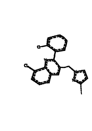 Clc1ccccc1-c1nc2c(Cl)cccc2cc1Cn1ccc(I)n1